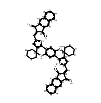 O=C1C(=Cc2cc3c(s2)-c2cc4c(cc2OC32CCCCC2)-c2sc(C=C3C(=O)c5cc6ccccc6cc5C3=O)cc2C2(CCCCC2)O4)C(=O)c2cc3ccccc3cc21